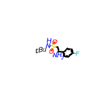 CC(C)(C)NS(=O)(=O)CC(N)c1ccc(F)cc1